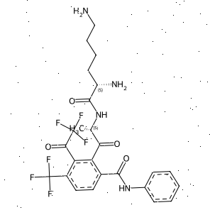 C[C@H](NC(=O)[C@@H](N)CCCCN)C(=O)c1c(C(=O)Nc2ccccc2)ccc(C(F)(F)F)c1C(=O)C(F)(F)F